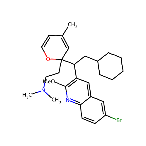 COc1nc2ccc(Br)cc2cc1C(CC1CCCCC1)C1(CCN(C)C)C=C(C)C=CO1